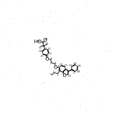 CCCc1c(OCCCOc2ccc(C(C)(C)C(=O)O)cc2)ccc2c(-c3ccccc3)coc12